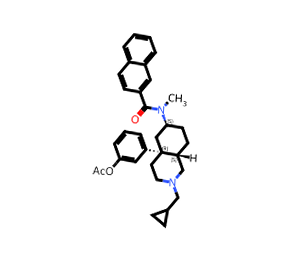 CC(=O)Oc1cccc([C@@]23CCN(CC4CC4)C[C@H]2CC[C@H](N(C)C(=O)c2ccc4ccccc4c2)C3)c1